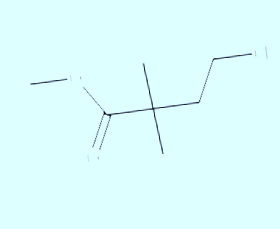 COC(=O)C(C)(C)CCCl